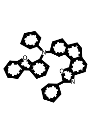 c1ccc(-c2nc3ccc4ccc5ccc(N(c6ccccc6)c6cccc7c6oc6ccccc67)cc5c4c3o2)cc1